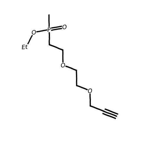 C#CCOCCOCCP(C)(=O)OCC